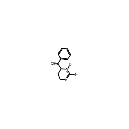 CCC1=NCCC(C(=O)c2ccccc2)[NH+]1[O-]